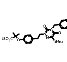 CCCCCCc1nn(CCc2ccc(OC(C)(C)C(=O)OCC)cc2)c(=O)n(Cc2ccccc2)c1=O